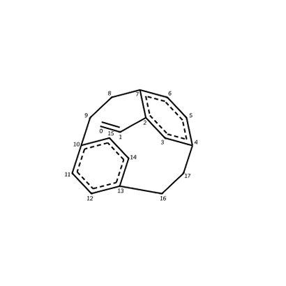 C=Cc1cc2ccc1CCc1ccc(cc1)CC2